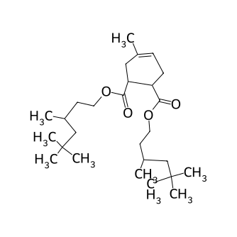 CC1=CCC(C(=O)OCCC(C)CC(C)(C)C)C(C(=O)OCCC(C)CC(C)(C)C)C1